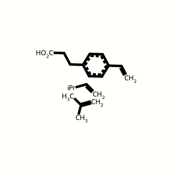 C=C(C)C.C=CC(C)C.C=Cc1ccc(CCC(=O)O)cc1